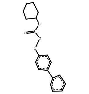 O=S(OOc1ccc(-c2ccccc2)cc1)OC1CCCCC1